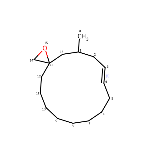 CC1C/C=C/CCCCCCCCC2(CO2)C1